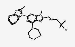 Cc1nc2ccccc2n1-c1nc(N2CCOCC2)c2nc(CNCC(C)(C)O)n(C)c2n1